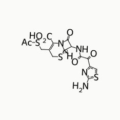 CC(=O)SCC1=C(C(=O)O)N2C(=O)C(NC(=O)C(=O)c3csc(N)n3)[C@@H]2SC1